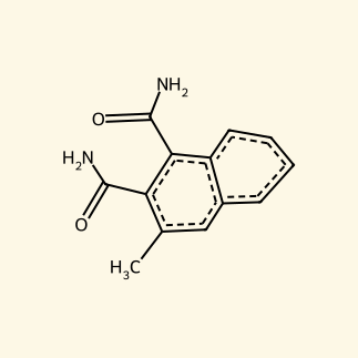 Cc1cc2ccccc2c(C(N)=O)c1C(N)=O